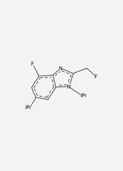 CC(C)c1cc(F)c2nc(CF)n(C(C)C)c2c1